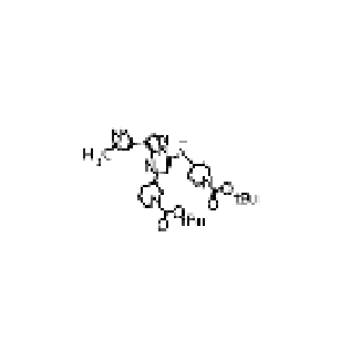 Cn1cc(-c2cnn3c(NC4CCN(C(=O)OC(C)(C)C)CC4)cc(C4CCCN(C(=O)OC(C)(C)C)C4)nc23)cn1